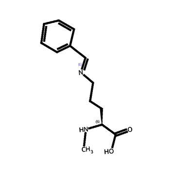 CN[C@@H](CCC/N=C/c1ccccc1)C(=O)O